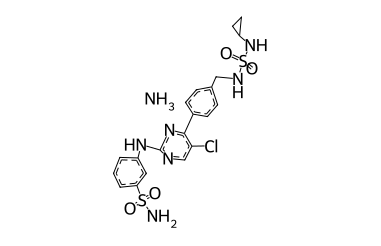 N.NS(=O)(=O)c1cccc(Nc2ncc(Cl)c(-c3ccc(CNS(=O)(=O)NC4CC4)cc3)n2)c1